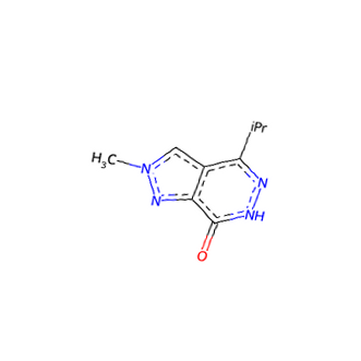 CC(C)c1n[nH]c(=O)c2nn(C)cc12